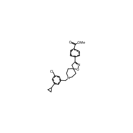 COC(=O)c1ccc(C2=NOC3(CCN(Cc4cc(Cl)cc(C5CC5)c4)CC3)C2)cc1